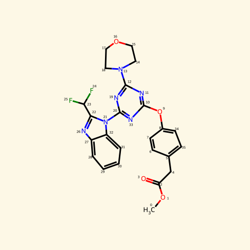 COC(=O)Cc1ccc(Oc2nc(N3CCOCC3)nc(-n3c(C(F)F)nc4ccccc43)n2)cc1